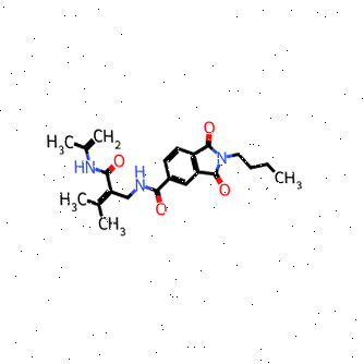 C=C(C)NC(=O)C(CNC(=O)c1ccc2c(c1)C(=O)N(CCCC)C2=O)=C(C)C